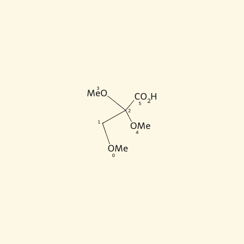 COCC(OC)(OC)C(=O)O